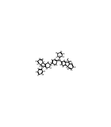 CC1(C)C2=CC(N(C3=CC=C(C4CCC5=C(C4)C4C=CC=CC4N5c4ccccc4)CC3)C3CC=CCC3)=CCC2C2C=CC=CC21